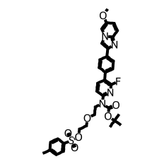 COc1ccc2nc(-c3ccc(-c4ccc(N(CCOCCOS(=O)(=O)c5ccc(C)cc5)C(=O)OC(C)(C)C)nc4F)cc3)cn2c1